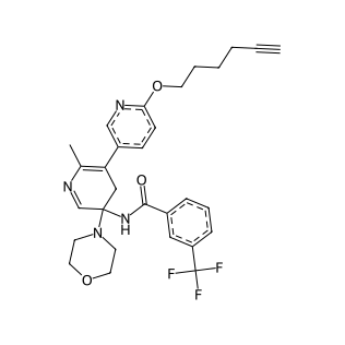 C#CCCCCOc1ccc(C2=C(C)N=CC(NC(=O)c3cccc(C(F)(F)F)c3)(N3CCOCC3)C2)cn1